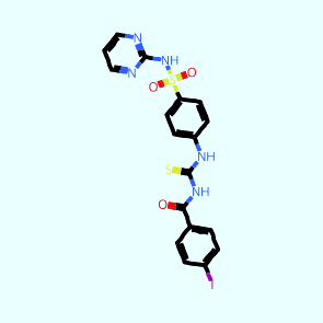 O=C(NC(=S)Nc1ccc(S(=O)(=O)Nc2ncccn2)cc1)c1ccc(I)cc1